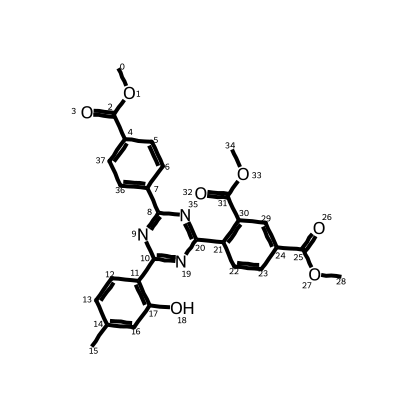 COC(=O)c1ccc(-c2nc(-c3ccc(C)cc3O)nc(-c3ccc(C(=O)OC)cc3C(=O)OC)n2)cc1